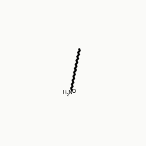 CCCCCCCCCCC=CCCCCCCCCCC(N)=O